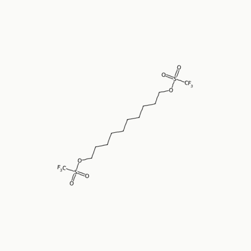 O=S(=O)(OCCCCCCCCCCOS(=O)(=O)C(F)(F)F)C(F)(F)F